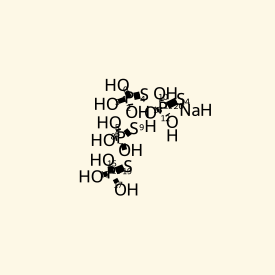 OP(O)(O)=S.OP(O)(O)=S.OP(O)(O)=S.OP(O)(O)=S.[NaH]